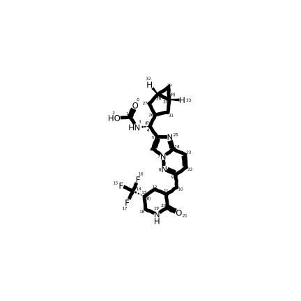 O=C(O)N[C@@H](c1cn2nc(CC3C[C@@H](C(F)(F)F)CNC3=O)ccc2n1)C1C[C@@H]2C[C@@H]2C1